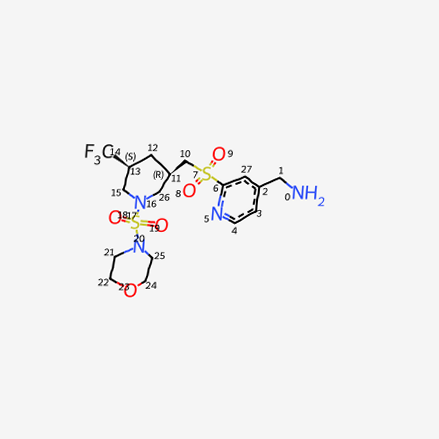 NCc1ccnc(S(=O)(=O)C[C@@H]2C[C@H](C(F)(F)F)CN(S(=O)(=O)N3CCOCC3)C2)c1